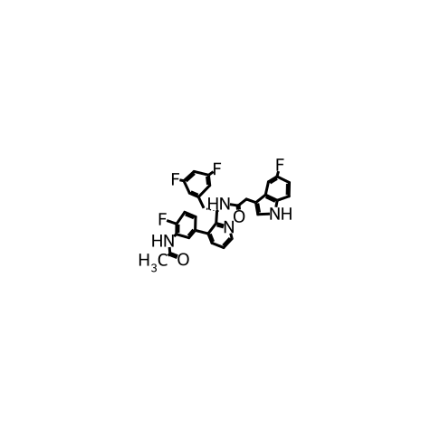 CC(=O)Nc1cc(-c2cccnc2[C@H](Cc2cc(F)cc(F)c2)NC(=O)Cc2c[nH]c3ccc(F)cc23)ccc1F